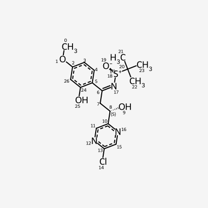 COc1ccc(C(C[C@H](O)c2cnc(Cl)cn2)=N[S@@+]([O-])C(C)(C)C)c(O)c1